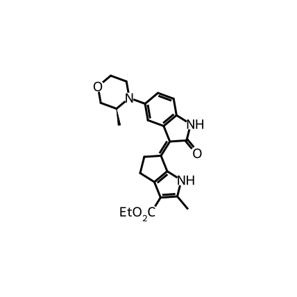 CCOC(=O)c1c(C)[nH]c2c1CC/C2=C1/C(=O)Nc2ccc(N3CCOC[C@@H]3C)cc21